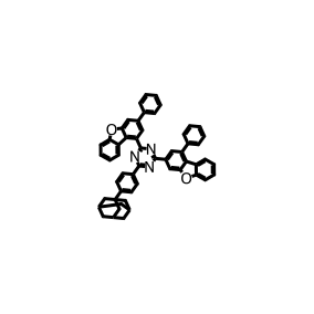 c1ccc(-c2cc(-c3nc(-c4ccc(C56CC7CC(CC(C7)C5)C6)cc4)nc(-c4cc(-c5ccccc5)c5c(c4)oc4ccccc45)n3)c3c(c2)oc2ccccc23)cc1